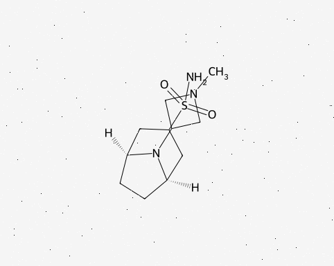 CN1CC(N2[C@@H]3CC[C@H]2CC(S(N)(=O)=O)C3)C1